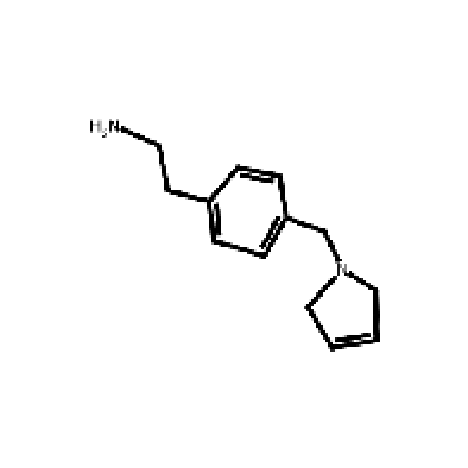 NCCc1ccc(CN2CC=CC2)cc1